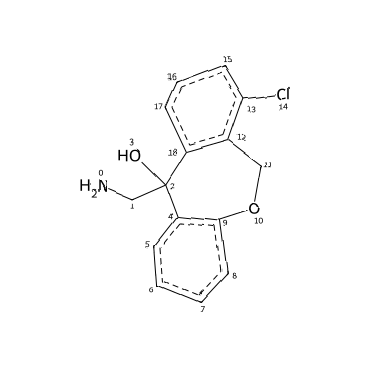 NCC1(O)c2ccccc2OCc2c(Cl)cccc21